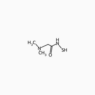 CN(C)CC(=O)NS